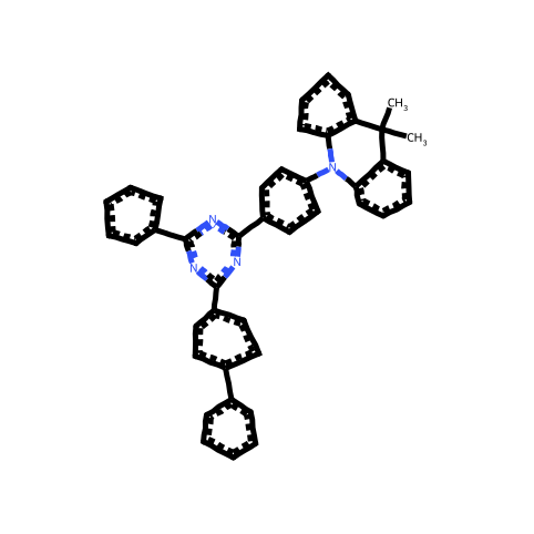 CC1(C)c2ccccc2N(c2ccc(-c3nc(-c4ccccc4)nc(-c4ccc(-c5ccccc5)cc4)n3)cc2)c2ccccc21